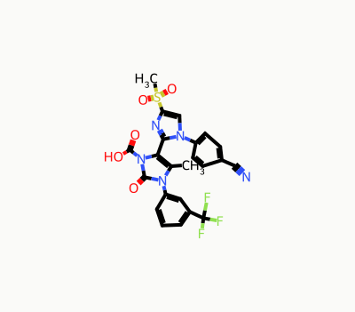 Cc1c(-c2nc(S(C)(=O)=O)cn2-c2ccc(C#N)cc2)n(C(=O)O)c(=O)n1-c1cccc(C(F)(F)F)c1